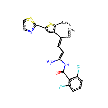 C=C/C(=C\C=C(/N)NC(=O)c1c(F)cccc1F)c1cc(-c2nccs2)sc1C